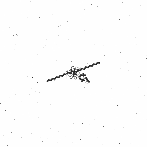 CCCCCCCCCCCCCC(C)C(CCCCCCCCCCCCC)(C(=O)O)C(C(=O)O)(C(=O)O)C(=O)OC1CC(C)(C)N(CC2CO2)C(C)(C)C1